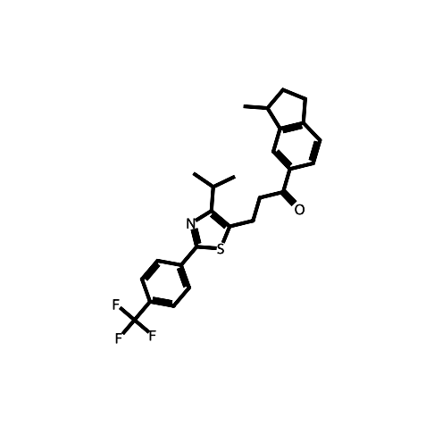 CC(C)c1nc(-c2ccc(C(F)(F)F)cc2)sc1CCC(=O)c1ccc2c(c1)C(C)CC2